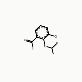 O=C(F)c1cccc(Cl)c1OC(F)F